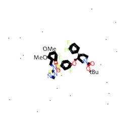 COc1ccc(CN(c2ncns2)S(=O)(=O)c2cc(F)c(OC[C@@H]3CN(C(=O)OC(C)(C)C)CC[C@H]3c3ccc(F)c(F)c3)cc2F)c(OC)c1